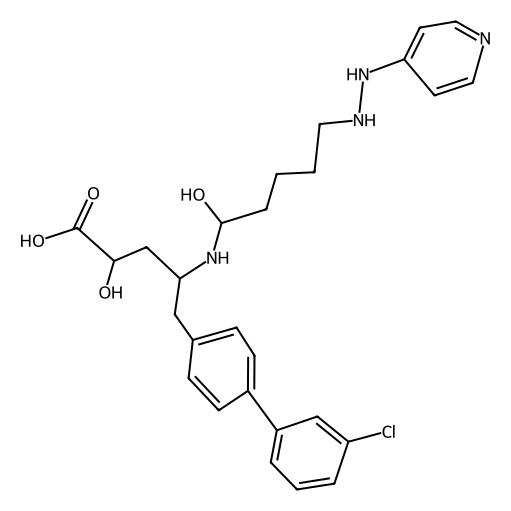 O=C(O)C(O)CC(Cc1ccc(-c2cccc(Cl)c2)cc1)NC(O)CCCCNNc1ccncc1